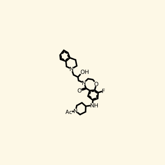 CC(=O)N1CCC(Nc2cc(F)c3c(c2)C(=O)N(CC(O)CN2CCc4ccccc4C2)CCO3)CC1